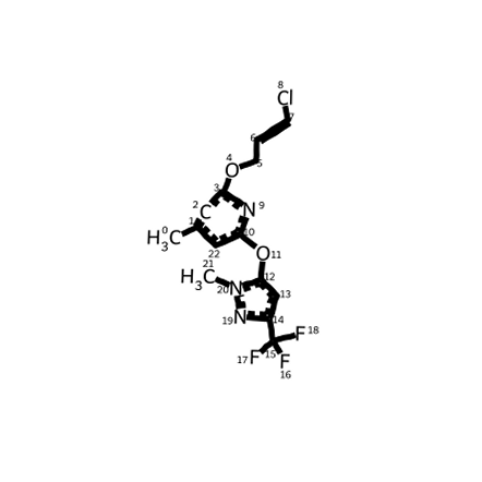 Cc1cc(OCC=CCl)nc(Oc2cc(C(F)(F)F)nn2C)c1